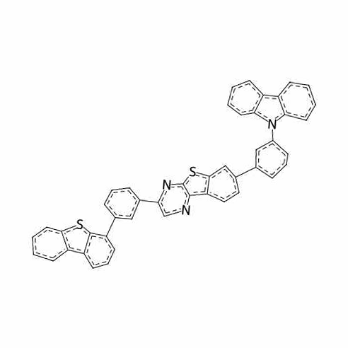 c1cc(-c2cnc3c(n2)sc2cc(-c4cccc(-n5c6ccccc6c6ccccc65)c4)ccc23)cc(-c2cccc3c2sc2ccccc23)c1